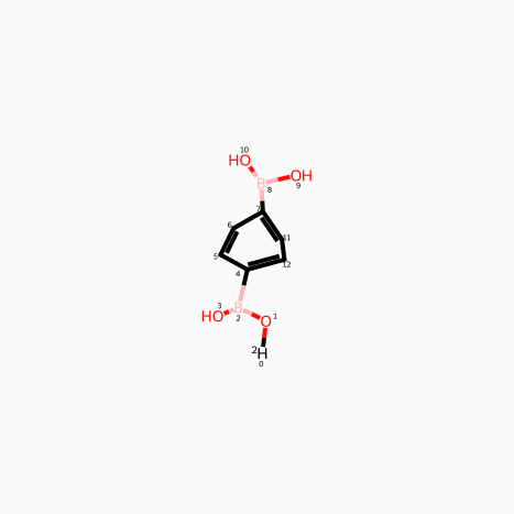 [2H]OB(O)c1ccc(B(O)O)cc1